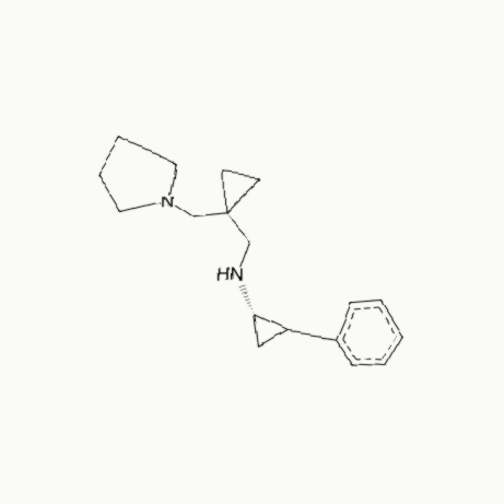 c1ccc(C2C[C@@H]2NCC2(CN3CCCC3)CC2)cc1